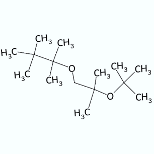 CC(C)(C)OC(C)(C)COC(C)(C)C(C)(C)C